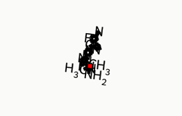 Cc1c(N)nn(C)c1-c1nc(N2CCN(C(=O)N3N=CC[C@H]3c3cc(F)cc(C#N)c3)CC2)ncc1F